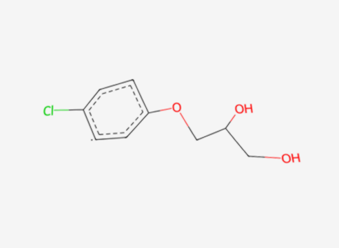 OCC(O)COc1c[c]c(Cl)cc1